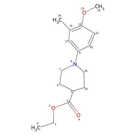 CCOC(=O)C1CCN(c2ccc(OC)c(C)c2)CC1